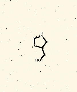 OCC1CNCS1